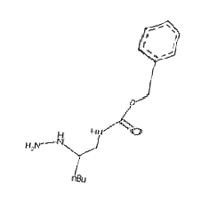 CCCCC(CNC(=O)OCc1ccccc1)NN